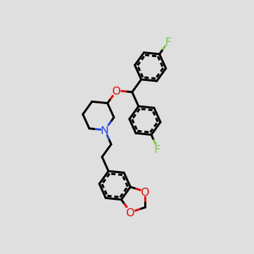 Fc1ccc(C(OC2CCCN(CCc3ccc4c(c3)OCO4)C2)c2ccc(F)cc2)cc1